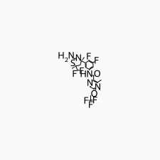 Cc1nc(OCC(F)(F)F)cnc1C(=O)Nc1cc(F)c(F)c([C@]2(C)C[C@](C)(C(F)F)SC(N)=N2)c1